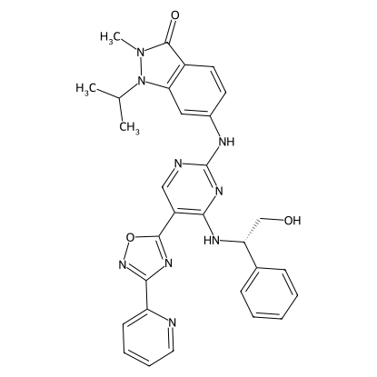 CC(C)n1c2cc(Nc3ncc(-c4nc(-c5ccccn5)no4)c(N[C@H](CO)c4ccccc4)n3)ccc2c(=O)n1C